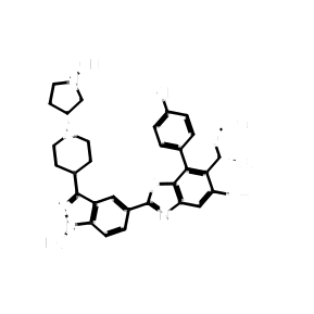 Cc1cc2nc(-c3ccc4c(c3)c(C3CCN([C@@H]5CCN(C)C5)CC3)nn4C)sc2c(-c2ccc(Cl)cc2)c1[C@H](OC(C)(C)C)C(=O)O